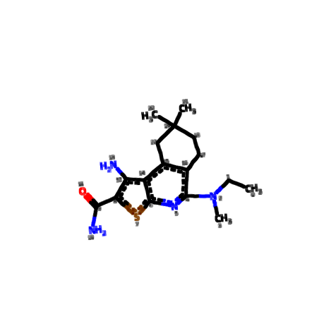 CCN(C)c1nc2sc(C(N)=O)c(N)c2c2c1CCC(C)(C)C2